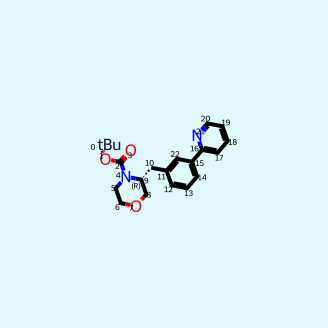 CC(C)(C)OC(=O)N1CCOC[C@H]1Cc1cccc(-c2ccccn2)c1